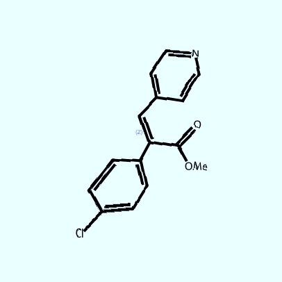 COC(=O)/C(=C\c1ccncc1)c1ccc(Cl)cc1